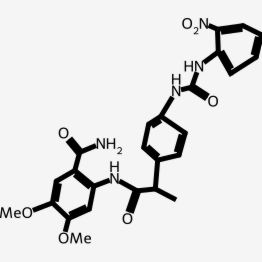 COc1cc(NC(=O)C(C)c2ccc(NC(=O)Nc3ccccc3[N+](=O)[O-])cc2)c(C(N)=O)cc1OC